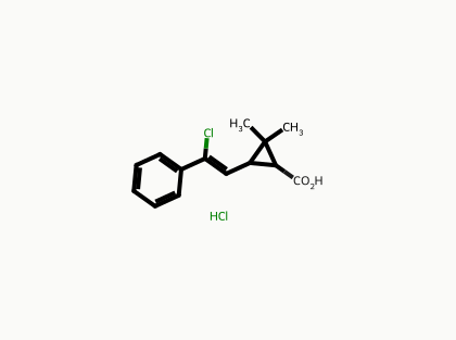 CC1(C)C(C=C(Cl)c2ccccc2)C1C(=O)O.Cl